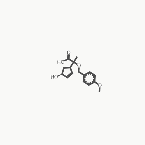 COc1ccc(COC(C)(C(=O)O)C2C=C[C@@H](O)C2)cc1